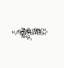 COc1nc(N)nc2c1ncn2[C@@H]1O[C@H](COO/[P+]([O-])=N/[C@@H](C)C(=O)O)[C@@H](O)[C@@]1(C)F